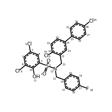 O=S(=O)(c1cc(Cl)cc(Cl)c1O)N(Cc1ccc(F)cc1)Cc1cc(-c2ccc(Cl)cc2)ccc1Cl